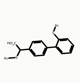 CC(=O)Sc1ccccc1-c1ccc(C(SC(C)=O)C(=O)O)cc1